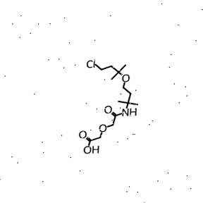 CC(C)(CCOC(C)(C)CCCl)NC(=O)COCC(=O)O